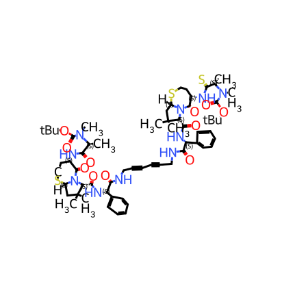 C[C@@H](C(=O)N[C@H]1CCS[C@H]2CC(C)(C)[C@@H](C(=O)N[C@H](C(=O)NCC#CC#CCNC(=O)[C@@H](NC(=O)[C@H]3N4C(=O)[C@@H](NC(=S)[C@H](C)N(C)C(=O)OC(C)(C)C)CCS[C@H]4CC3(C)C)c3ccccc3)c3ccccc3)N2C1=O)N(C)C(=O)OC(C)(C)C